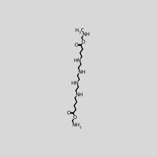 CNCOC(=O)CCCNCCNCCNCCNCCCCC(=O)OCN